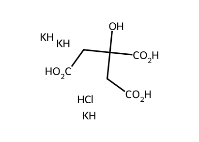 Cl.O=C(O)CC(O)(CC(=O)O)C(=O)O.[KH].[KH].[KH]